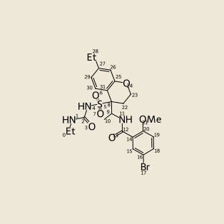 CCNC(=O)NS(=O)(=O)C1(C(C)NC(=O)c2cc(Br)ccc2OC)CCOc2cc(CC)ccc21